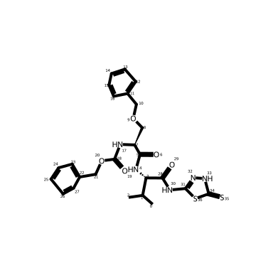 CC(C)[C@H](NC(=O)[C@H](COCc1ccccc1)NC(=O)OCc1ccccc1)C(=O)Nc1n[nH]c(=S)s1